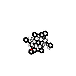 CC1(C)c2c(-c3nc(-c4ccccc4)nc(-c4ccccc4)n3)c3c(c(-c4nc(-c5ccccc5)nc(-c5ccccc5)n4)c2-n2c4ccccc4c4cccc1c42)C(C)(C)c1cccc2c4ccccc4n-3c12